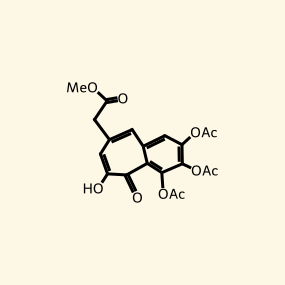 COC(=O)Cc1cc(O)c(=O)c2c(OC(C)=O)c(OC(C)=O)c(OC(C)=O)cc2c1